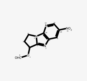 O=COC1CCn2c1nc1cc([N+](=O)[O-])cnc12